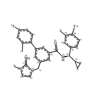 Cc1cc(F)ccc1-c1cc(Cn2ccn(C)c2=N)cc(C(=O)N[C@@H](c2ccc(F)c(C)n2)C2CC2)c1